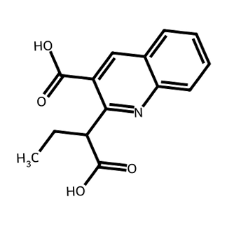 CCC(C(=O)O)c1nc2ccccc2cc1C(=O)O